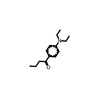 CCCC(=O)c1ccc(N(CC)CC)cc1